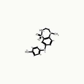 CN1CCNS(=O)(=O)c2cc(Oc3ccc(O)cc3)ccc21